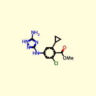 COC(=O)c1c(Cl)cc(Nc2n[nH]c(N)n2)cc1C1CC1